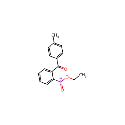 CCO[PH](=O)c1ccccc1C(=O)c1ccc(C)cc1